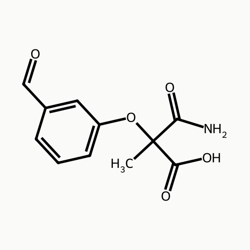 CC(Oc1cccc(C=O)c1)(C(N)=O)C(=O)O